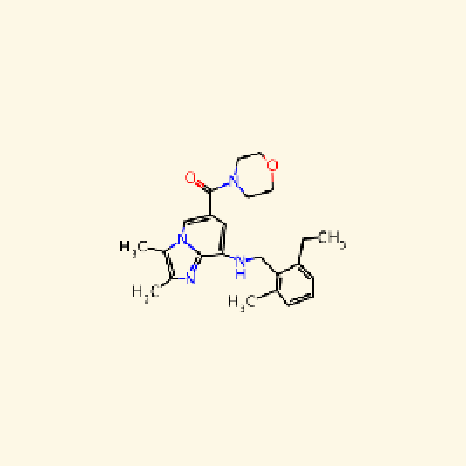 CCc1cccc(C)c1CNc1cc(C(=O)N2CCOCC2)cn2c(C)c(C)nc12